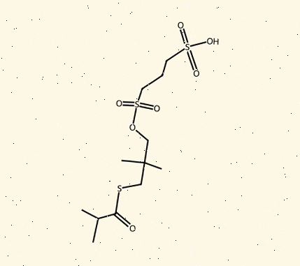 CC(C)C(=O)SCC(C)(C)COS(=O)(=O)CCCS(=O)(=O)O